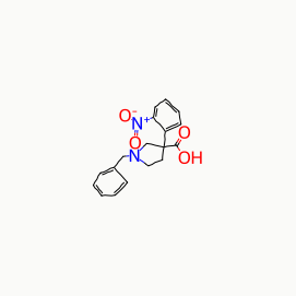 O=C(O)C1(c2ccccc2[N+](=O)[O-])CCN(Cc2ccccc2)C1